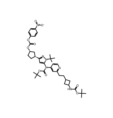 CC(C)(C)OC(=O)NC1CC(CCc2cc(N(C(=O)OC(C)(C)C)c3cc([C@H]4CC[C@@H](OC(=O)Oc5ccc([N+](=O)[O-])cc5)C4)nn3C(C)(C)C)ccn2)C1